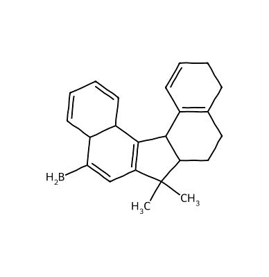 BC1=CC2=C(C3C=CC=CC13)C1C3=C(CCC=C3)CCC1C2(C)C